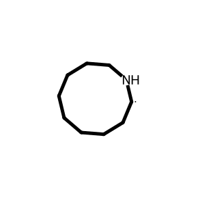 [CH]1CCCCCCCCN1